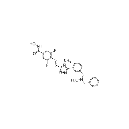 CN(Cc1ccccc1)Cc1cccc(-c2nnc(SSc3c(F)cc(C(=O)NO)cc3F)n2C)c1